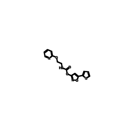 O=C(NCCOc1ccccn1)Oc1cc(-c2ccco2)on1